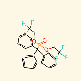 O=P(OCC(F)(F)F)(OCC(F)(F)F)C(c1ccccc1)(c1ccccc1)c1ccccc1